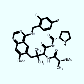 CN[C@@H](C)C(=O)N[C@H](C(=O)NC(=O)[C@@H]1CCCN1)C(C)(C)Cc1cc2c(NCc3ccc(F)cc3F)ncnc2cc1OC